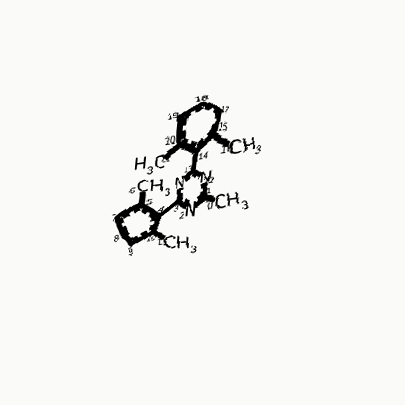 Cc1nc(-c2c(C)cccc2C)nc(-c2c(C)cccc2C)n1